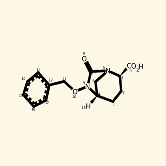 O=C(O)[C@H]1CC[C@H]2CN1C(=O)N2OCc1ccccc1